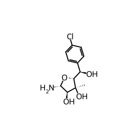 C[C@@]1(O)[C@@H]([C@H](O)c2ccc(Cl)cc2)O[C@@H](N)[C@@H]1O